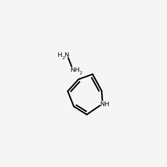 C1=CC=CNC=C1.NN